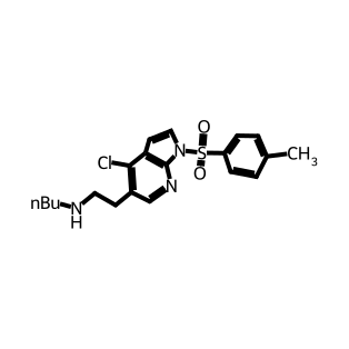 CCCCNCCc1cnc2c(ccn2S(=O)(=O)c2ccc(C)cc2)c1Cl